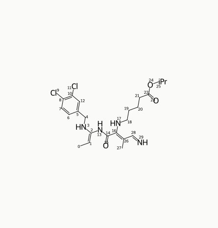 C/C=C(\NCc1ccc(Cl)c(Cl)c1)NC(=O)/C(NCCCCC(=O)OC(C)C)=C(\C)C=N